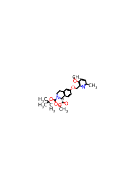 COC(=O)[C@H]1c2ccc(OCc3nc(C)ccc3OC)cc2CCN1C(=O)OC(C)(C)C